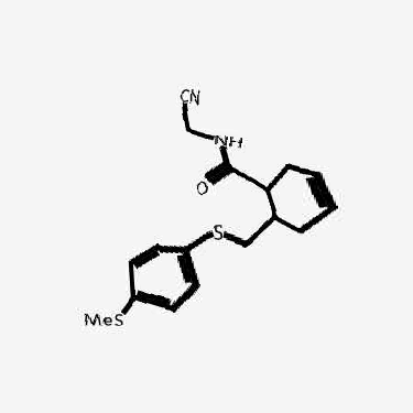 CSc1ccc(SCC2CC=CCC2C(=O)NCC#N)cc1